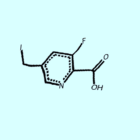 O=C(O)c1ncc(CI)cc1F